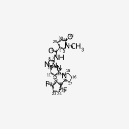 Cn1cc(C(=O)Nc2cnc3ccc(N4CCCC4c4cc(F)ccc4F)nn23)ccc1=O